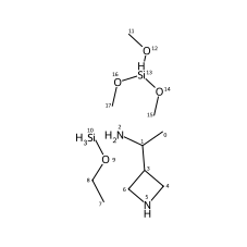 CC(N)C1CNC1.CCO[SiH3].CO[SiH](OC)OC